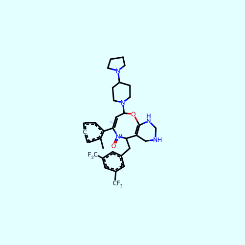 Cc1ccccc1/C1=C/C(N2CCC(N3CCCC3)CC2)OC2=C(CNCN2)C(Cc2cc(C(F)(F)F)cc(C(F)(F)F)c2)[N+]1=O